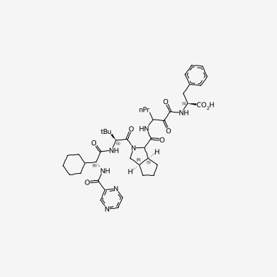 CCCC(NC(=O)C1[C@H]2CCC[C@H]2CN1C(=O)[C@@H](NC(=O)[C@H](NC(=O)c1cnccn1)C1CCCCC1)C(C)(C)C)C(=O)C(=O)N[C@@H](Cc1ccccc1)C(=O)O